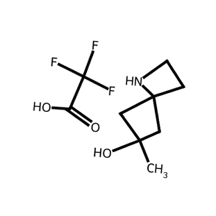 CC1(O)CC2(CCN2)C1.O=C(O)C(F)(F)F